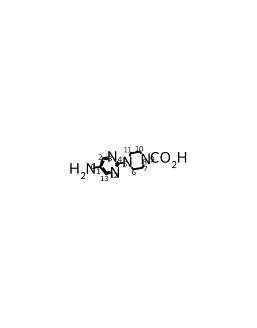 Nc1cnc(N2CCN(C(=O)O)CC2)nc1